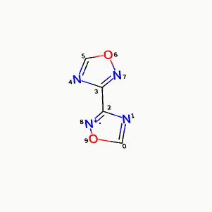 C1=NC(c2ncon2)=[N+]O1